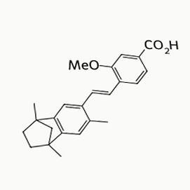 COc1cc(C(=O)O)ccc1C=Cc1cc2c(cc1C)C1(C)CCC2(C)C1